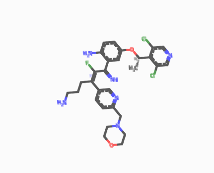 C[C@H](Oc1ccc(N)c(C(=N)/C(F)=C(/CCCN)c2ccc(CN3CCOCC3)nc2)c1)c1c(Cl)cncc1Cl